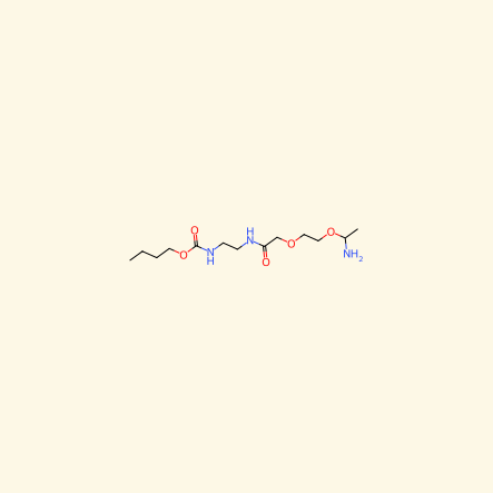 CCCCOC(=O)NCCNC(=O)COCCOC(C)N